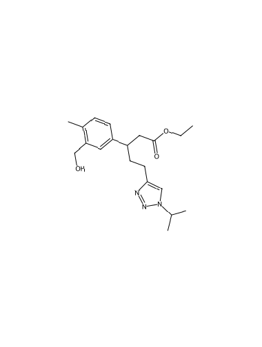 CCOC(=O)CC(CCc1cn(C(C)C)nn1)c1ccc(C)c(CO)c1